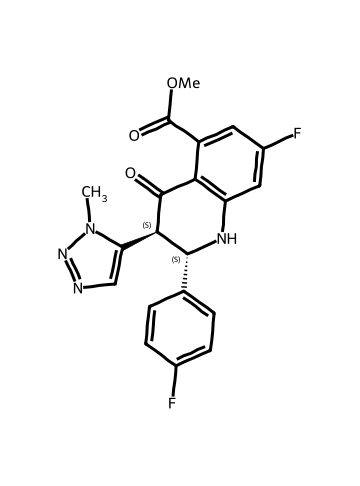 COC(=O)c1cc(F)cc2c1C(=O)[C@H](c1cnnn1C)[C@@H](c1ccc(F)cc1)N2